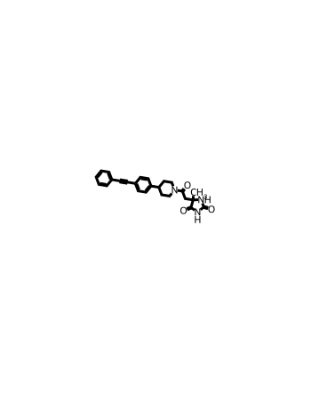 CC1(CC(=O)N2CCC(c3ccc(C#Cc4ccccc4)cc3)CC2)NC(=O)NC1=O